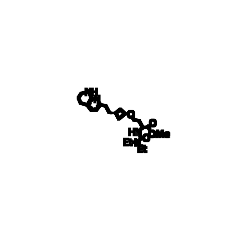 CCN(CC)C(=O)NC(CCO[C@H]1C[C@H](CCc2ccc3c(n2)NCCC3)C1)C(=O)OC